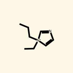 CCC[N+]1(CC)C=CN=C1